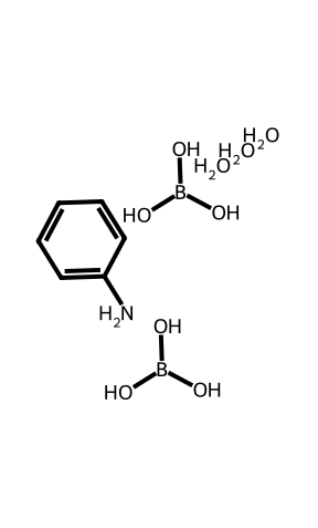 Nc1ccccc1.O.O.O.OB(O)O.OB(O)O